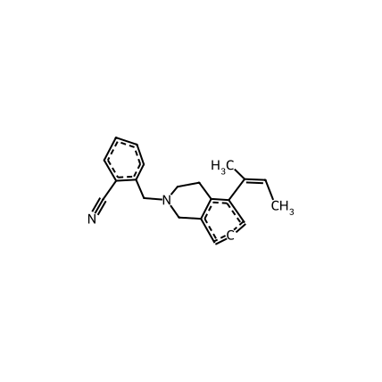 C/C=C(/C)c1cccc2c1CCN(Cc1ccccc1C#N)C2